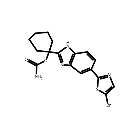 NC(=O)OC1(c2nc3cc(-c4ncc(Br)s4)ccc3[nH]2)CCCCC1